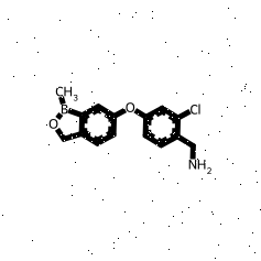 CB1OCc2ccc(Oc3ccc(CN)c(Cl)c3)cc21